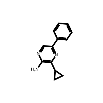 Nc1ncc(-c2ccccc2)nc1C1CC1